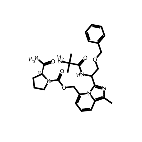 Cc1nc(C(COCc2ccccc2)NC(=O)C(C)(C)N)n2c(COC(=O)N3CCC[C@H]3C(N)=O)cccc12